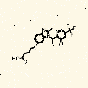 Cc1nc2ccc(OCCCC(=O)O)cc2n1C(C)c1ncc(C(F)(F)F)cc1Cl